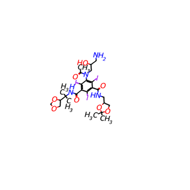 CC(=O)N(CC(O)CN)c1c(I)c(C(=O)NCC2COC(C)(C)O2)c(I)c(C(=O)NC(C)(C)C2COCO2)c1I